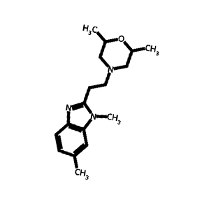 Cc1ccc2nc(CCN3CC(C)OC(C)C3)n(C)c2c1